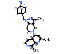 Cc1cc(N2CCc3c(c(C)nn3CC34CCC(N)(CC3)CC4)C2)c2ccnc(C)c2n1